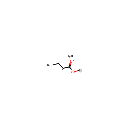 CCOC(=O)CCS(=O)(=O)O.[NaH]